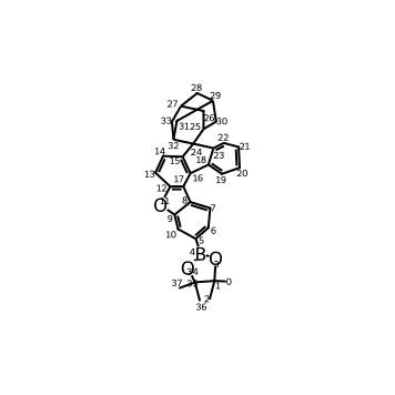 CC1(C)OB(c2ccc3c(c2)oc2ccc4c(c23)-c2ccccc2C42C3CC4CC(C3)CC2C4)OC1(C)C